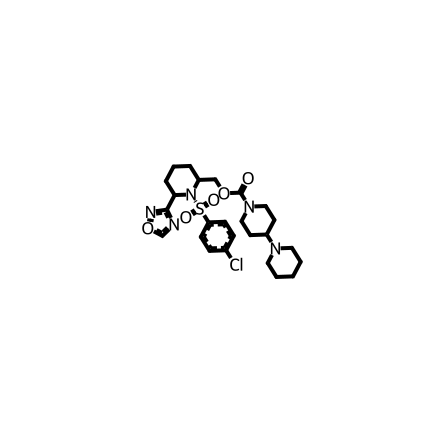 O=C(OCC1CCCC(c2ncon2)N1S(=O)(=O)c1ccc(Cl)cc1)N1CCC(N2CCCCC2)CC1